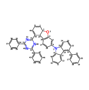 C1=CC2Oc3cc(-n4c5ccccc5c5c(-c6ccccc6)cccc54)ccc3C2C(c2nc(-c3ccccc3)nc(-c3ccccc3)n2)=C1